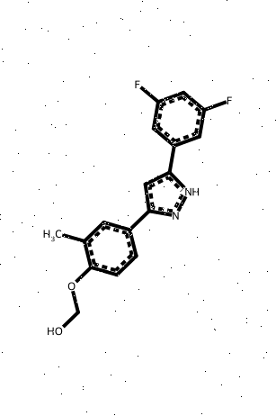 Cc1cc(-c2cc(-c3cc(F)cc(F)c3)[nH]n2)ccc1OCO